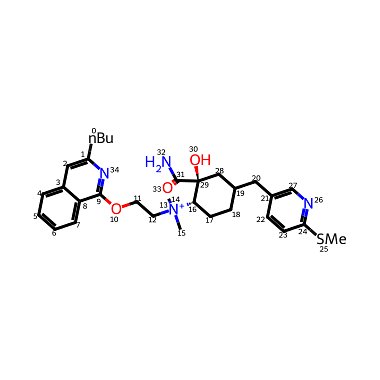 CCCCc1cc2ccccc2c(OCC[N+](C)(C)[C@H]2CCC(Cc3ccc(SC)nc3)C[C@@]2(O)C(N)=O)n1